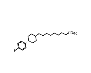 CCCCCCCCCCCCCCCCCC[C@H]1CC[C@H](c2ccc(F)cc2)CC1